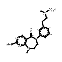 CSc1ncc2c(n1)N(C)CCN(c1cccc(CCN(C)C(=O)O)c1)C2=O